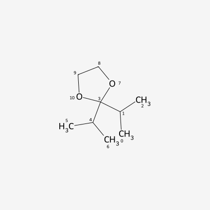 CC(C)C1(C(C)C)OCCO1